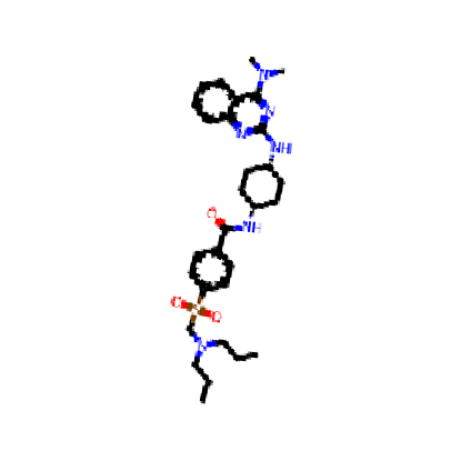 CCCN(CCC)CS(=O)(=O)c1ccc(C(=O)N[C@H]2CC[C@@H](Nc3nc(N(C)C)c4ccccc4n3)CC2)cc1